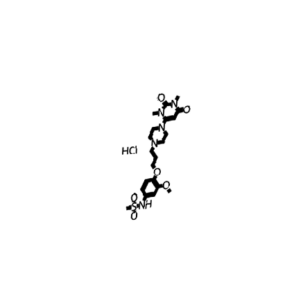 COc1cc(NS(C)(=O)=O)ccc1OCCCN1CCN(c2cc(=O)n(C)c(=O)n2C)CC1.Cl